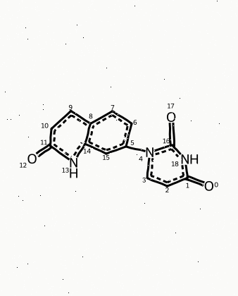 O=c1ccn(-c2ccc3ccc(=O)[nH]c3c2)c(=O)[nH]1